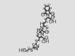 O=C(O)C1=C(CSc2nnc(SCCO)s2)CS[C@H]2C(NC(=S)CCCC(C(=O)O)N3C(=O)c4ccccc4C3=O)C(=O)N12